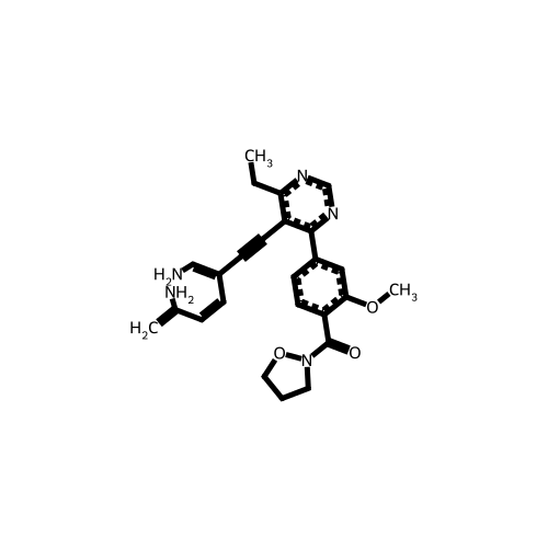 C=C(N)/C=C\C(C#Cc1c(CC)ncnc1-c1ccc(C(=O)N2CCCO2)c(OC)c1)=C/N